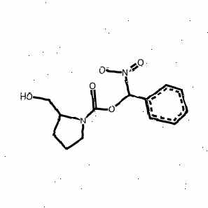 O=C(OC(c1ccccc1)[N+](=O)[O-])N1CCCC1CO